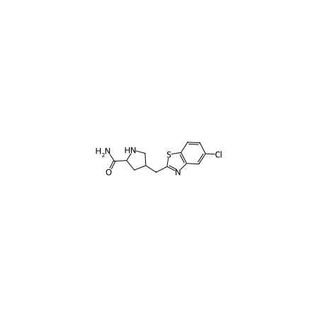 NC(=O)C1CC(Cc2nc3cc(Cl)ccc3s2)CN1